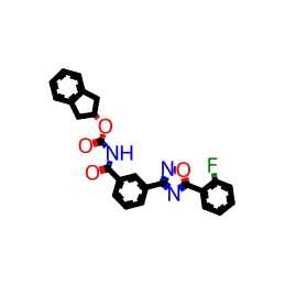 O=C(NC(=O)c1cccc(-c2noc(-c3ccccc3F)n2)c1)OC1Cc2ccccc2C1